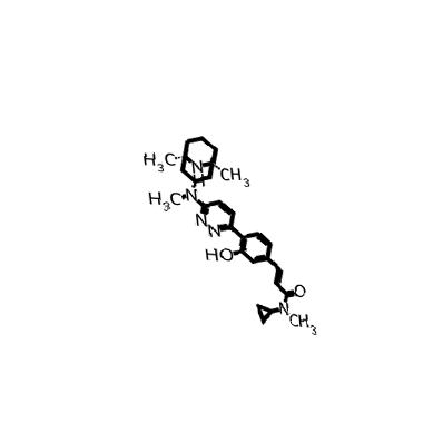 CN(C(=O)/C=C/c1ccc(-c2ccc(N(C)[C@H]3C[C@]4(C)CCC[C@](C)(C3)N4)nn2)c(O)c1)C1CC1